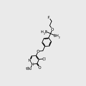 BC(B)(OCCF)c1ccc(COc2cnn(C(C)(C)C)c(=O)c2Cl)cc1